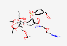 CC(=O)OC[C@H]1O[C@@H](Oc2ccc(C(=O)NCCOCCN=[N+]=[N-])cc2OS(=O)(=O)Oc2ccc(C=O)cc2)[C@H](OC(C)=O)[C@@H](OC(C)=O)[C@H]1OC(C)=O